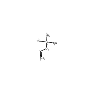 C=CO[Si](C(C)(C)C)(C(C)(C)C)C(C)(C)C